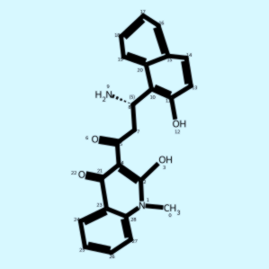 Cn1c(O)c(C(=O)C[C@H](N)c2c(O)ccc3ccccc23)c(=O)c2ccccc21